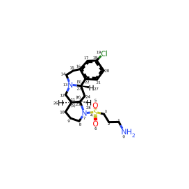 NCCCS(=O)(=O)N1CCC[C@H]2CN3CCc4cc(Cl)ccc4[C@@H]3C[C@H]21